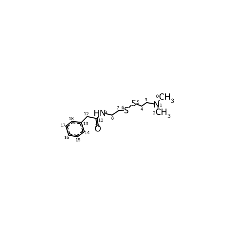 CN(C)CCSSCCNC(=O)Cc1ccccc1